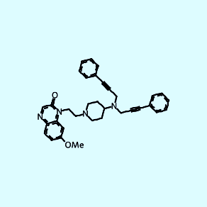 COc1ccc2ncc(=O)n(CCN3CCC(N(CC#Cc4ccccc4)CC#Cc4ccccc4)CC3)c2c1